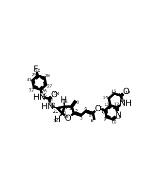 C=C1/C(=C\C=C(/C)Oc2ccnc3c2CCC(=O)N3)O[C@@H]2[C@@H](NC(=O)Nc3ccc(F)cc3)[C@H]12